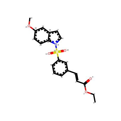 CCOC(=O)/C=C/c1cccc(S(=O)(=O)n2ccc3cc(OC)ccc32)c1